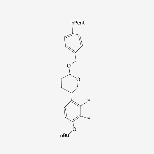 CCCCCc1ccc(COC2CCC(c3ccc(OCCCC)c(F)c3F)CO2)cc1